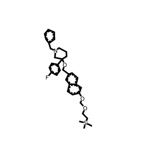 C[Si](C)(C)CCOCOc1ccc2cc(COC3(c4ccc(F)cc4)CCCN(Cc4ccccc4)C3)ccc2c1